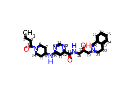 CCCC(=O)N1CCC(Nc2cc(C(=O)NCC(O)CN3CCc4ccccc4C3)ncn2)CC1